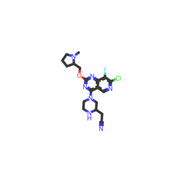 CN1CCCC1COc1nc(N2CCNC(CC#N)C2)c2cnc(Cl)c(F)c2n1